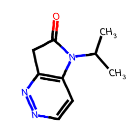 CC(C)N1C(=O)Cc2nnccc21